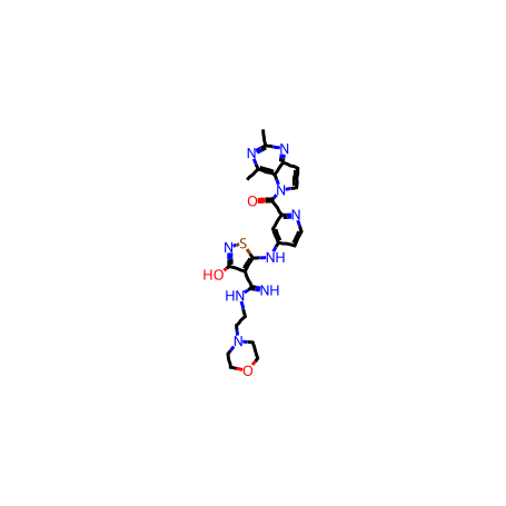 Cc1nc(C)c2c(ccn2C(=O)c2cc(Nc3snc(O)c3C(=N)NCCN3CCOCC3)ccn2)n1